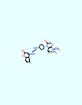 C=NC1=C(/C=C(\C)F)N([C@H]2CC[C@H](NCCNc3cc(=O)oc4ccc(F)cc34)CC2)C(=O)CO1